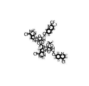 CC1(C)O[C@@H]2[C@H](O1)[C@@H](COc1ccc3c(Cl)ccnc3c1)O[C@H]2n1c(CC2(C)O[C@@H]3[C@H](O2)[C@@H](COc2ccc4ccc(C(F)(F)F)nc4c2)O[C@H]3n2ccc3c(Cl)ncnc32)cc2c(Cl)ncnc21